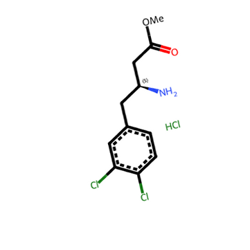 COC(=O)C[C@@H](N)Cc1ccc(Cl)c(Cl)c1.Cl